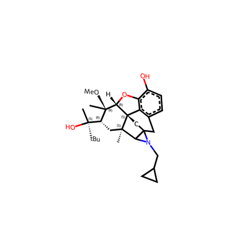 CO[C@]1(C)[C@@H]([C@](C)(O)C(C)(C)C)C[C@]2(C)C3N(CC4CC4)C34Cc3ccc(O)c5c3[C@@]2(C4)[C@H]1O5